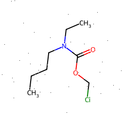 CCCCN(CC)C(=O)OCCl